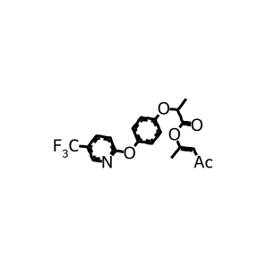 CC(=O)C=C(C)OC(=O)C(C)Oc1ccc(Oc2ccc(C(F)(F)F)cn2)cc1